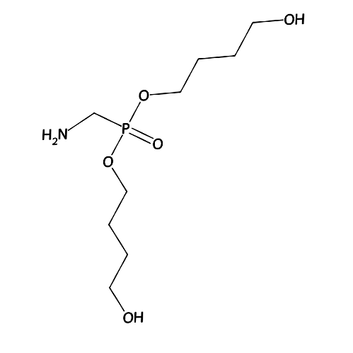 NCP(=O)(OCCCCO)OCCCCO